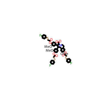 COc1cc(-c2c3n(c4c(=O)oc5cc(OC(=O)CSc6ccc(F)cc6)c(OC)cc5c24)CCc2cc(OC(=O)CSc4ccc(F)cc4)c(OC)cc2-3)ccc1OC(=O)CSc1ccc(F)cc1